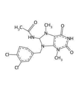 CC(=O)NC1N(C)c2c(n(C)c(=O)[nH]c2=O)N1Cc1ccc(Cl)c(Cl)c1